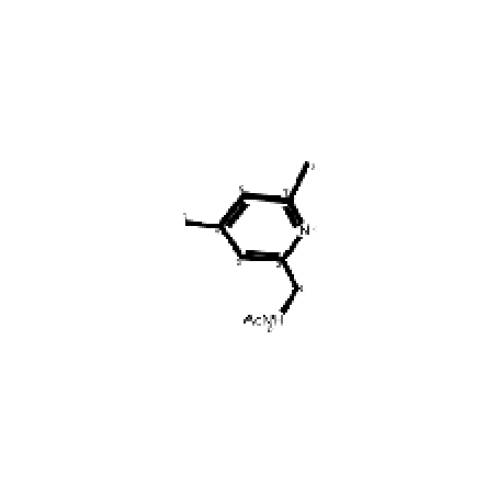 CC(=O)NCc1cc(C)cc(C)n1